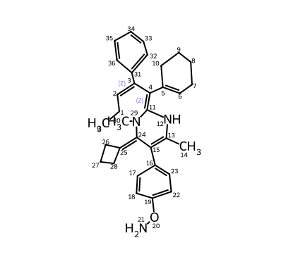 CC/C=C(\C(C1=CCCCC1)=C1\NC(C)=C(c2ccc(ON)cc2)C(=C2CCC2)N1C)c1ccccc1